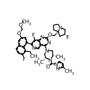 CCc1c(F)ccc2cc(OCOC)cc(-c3ncc4c(N5C[C@@H](C)N(C(=O)n6ccc(C)n6)[C@@H](C)C5)nc(OC[C@@]56CCCN5C[C@H](F)C6)nc4c3F)c12